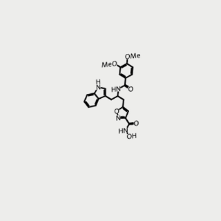 COc1ccc(C(=O)NC(Cc2cc(C(=O)NO)no2)Cc2c[nH]c3ccccc23)cc1OC